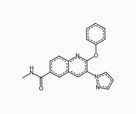 CNC(=O)c1ccc2nc(Oc3ccccc3)c(-n3cccn3)cc2c1